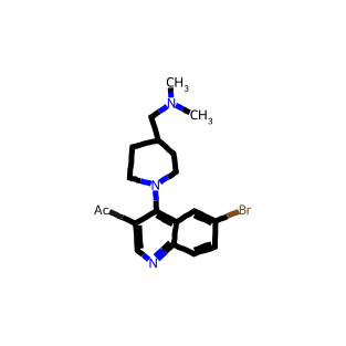 CC(=O)c1cnc2ccc(Br)cc2c1N1CCC(CN(C)C)CC1